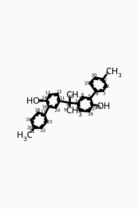 Cc1ccc(-c2cc(C(C)(C)c3ccc(O)c(-c4ccc(C)cc4)c3)ccc2O)cc1